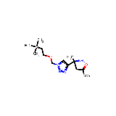 COC(=O)CC(C)(N)c1cn(COCC[Si](C)(C)C)nn1